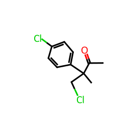 CC(=O)C(C)(CCl)c1ccc(Cl)cc1